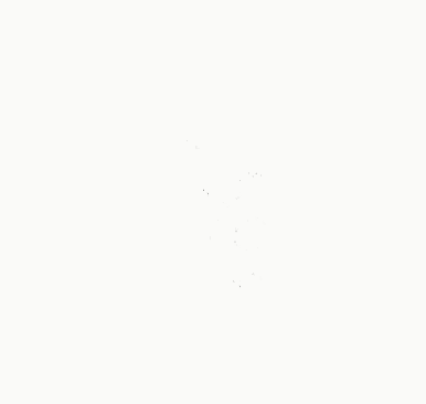 CCC1(CC)c2cc(C(N)=O)ccc2C[C@@H](OC)[C@H]1NCC[C@H](CC(C)C)C(=O)O